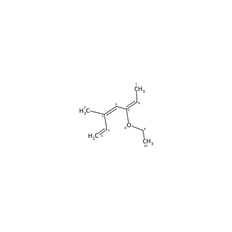 C=C/C(C)=C\C(=C/C)OCC